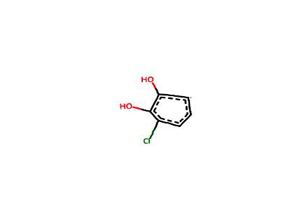 Oc1[c]ccc(Cl)c1O